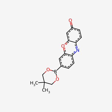 CC1(C)COB(c2ccc3nc4ccc(=O)cc-4oc3c2)OC1